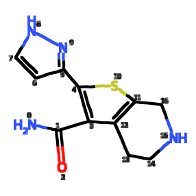 NC(=O)c1c(-c2cc[nH]n2)sc2c1CCNC2